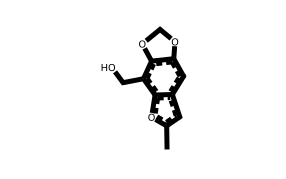 Cc1cc2cc3c(c(CO)c2o1)OCO3